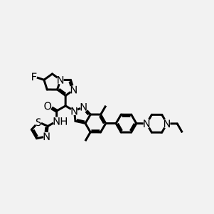 CCN1CCN(c2ccc(-c3cc(C)c4cn(C(C(=O)Nc5nccs5)c5ncn6c5CC(F)C6)nc4c3C)cc2)CC1